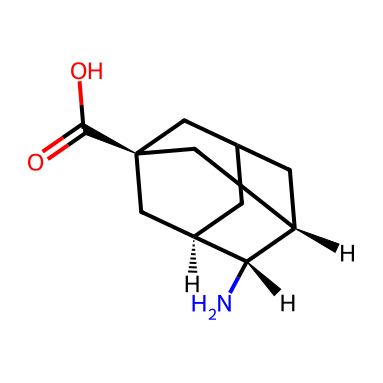 N[C@@H]1[C@@H]2CC3C[C@H]1C[C@@](C(=O)O)(C3)C2